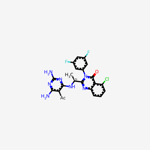 CC(=O)c1c(N)nc(N)nc1N[C@@H](C)c1nc2cccc(Cl)c2c(=O)n1-c1cc(F)cc(F)c1